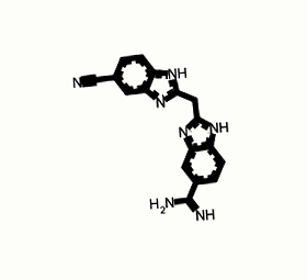 N#Cc1ccc2[nH]c(Cc3nc4cc(C(=N)N)ccc4[nH]3)nc2c1